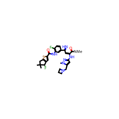 CNC(=O)/C(=C\C(=N)c1ccc(F)c(NC(=O)c2cc3c(s2)CC(C)(C)[C@@H]3F)c1)Nc1cc(CN2CCC2)n(C)n1